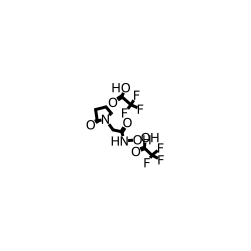 O=C(CN1CCCC1=O)NO.O=C(O)C(F)(F)F.O=C(O)C(F)(F)F